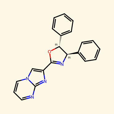 c1ccc([C@H]2N=C(c3cn4cccnc4n3)O[C@@H]2c2ccccc2)cc1